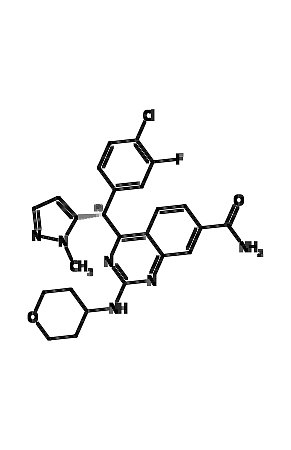 Cn1nccc1[C@H](c1ccc(Cl)c(F)c1)c1nc(NC2CCOCC2)nc2cc(C(N)=O)ccc12